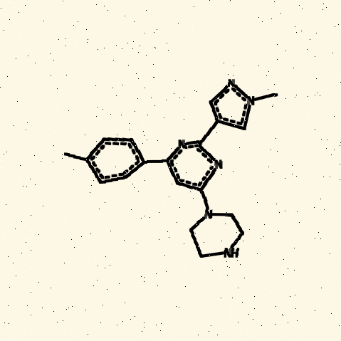 Cc1ccc(-c2cc(N3CCNCC3)nc(-c3cnn(C)c3)n2)cc1